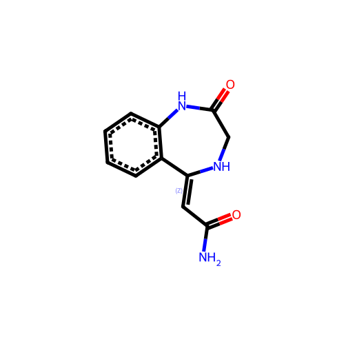 NC(=O)/C=C1\NCC(=O)Nc2ccccc21